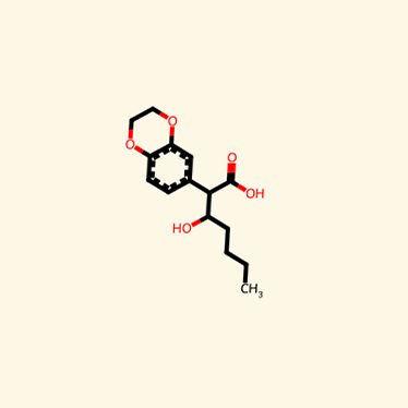 CCCCC(O)C(C(=O)O)c1ccc2c(c1)OCCO2